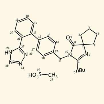 CCCCC1=NC2(CCCC2)C(=O)N1Cc1ccc(-c2ccccc2-c2nnn[nH]2)cc1.CS(=O)(=O)O